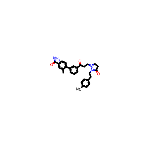 Cc1cc(C(N)=O)ccc1-c1cccc(C(=O)CCN2CCC(=O)N2CCc2ccc(C#N)cc2)c1